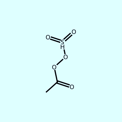 CC(=O)OO[SH](=O)=O